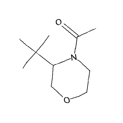 CC(=O)N1CCOCC1C(C)(C)C